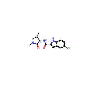 C[C@@H]1CN(C)C(=O)[C@H]1NC(=O)c1cc2cc(Cl)ccc2[nH]1